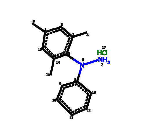 Cc1cc(C)c(N(N)c2ccccc2)c(C)c1.Cl